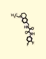 CCN1CCCc2cc(CNC(=O)C(=O)Nc3ccc(F)c(F)c3)ccc21